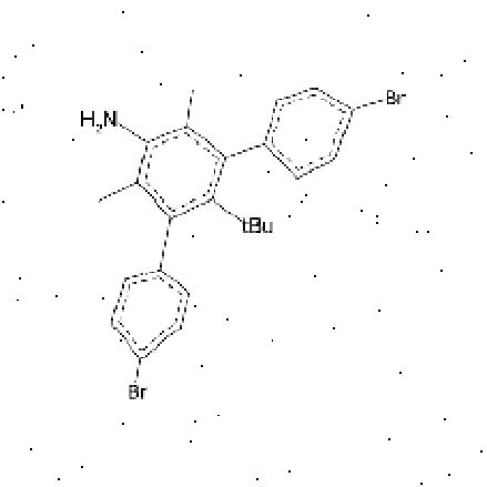 Cc1c(N)c(C)c(-c2ccc(Br)cc2)c(C(C)(C)C)c1-c1ccc(Br)cc1